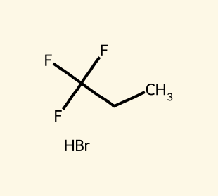 Br.CCC(F)(F)F